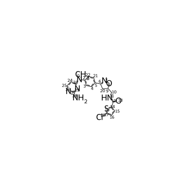 CN(c1ccc(C2=NOC(CNC(=O)c3ccc(Cl)s3)C2)cc1)c1ccnc(N)n1